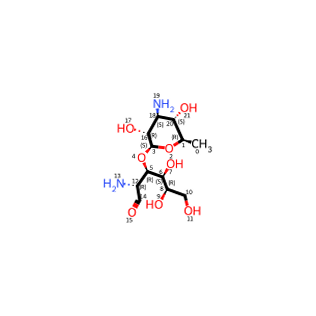 C[C@H]1O[C@@H](O[C@@H]([C@@H](O)[C@H](O)CO)[C@@H](N)C=O)[C@H](O)[C@@H](N)[C@@H]1O